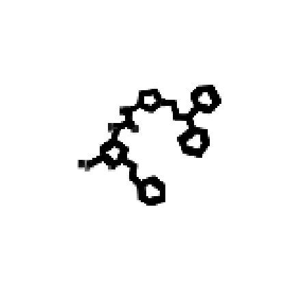 Cc1cc(NC(=O)N[C@H]2CCN(CCC(c3ccccc3)c3ccccc3)C2)cc(CCc2ccccc2)n1